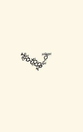 C=C(C)[C@@H]1CC[C@]2(NCCN3CCS(O)(O)CC3)CC[C@]3(C)[C@H](CC[C@@H]4[C@@]5(C)CC=C(c6ccc(C(=O)NS(=O)(=O)C7CC7)cc6)C(C)(C)[C@@H]5CC[C@]43C)[C@@H]12